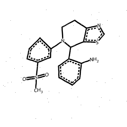 CS(=O)(=O)c1cccc(N2CCc3ncsc3C2c2ccccc2N)c1